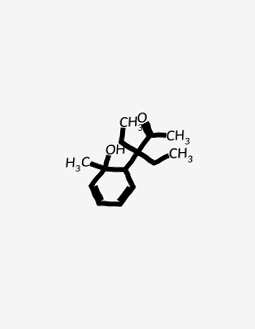 CCC(CC)(C(C)=O)C1C=CC=CC1(C)O